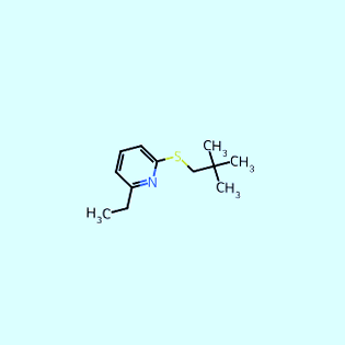 CCc1cccc(SCC(C)(C)C)n1